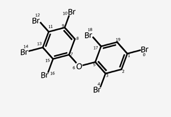 Brc1cc(Br)c(Oc2cc(Br)c(Br)c(Br)c2Br)c(Br)c1